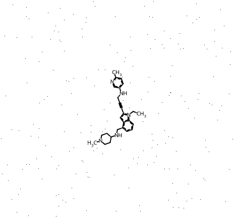 CCn1c(C#CCNc2ccc(C)nc2)cc2c(CNC3CCN(C)CC3)cccc21